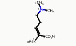 CCCCCCC(=CCCN(C)C)C(=O)O